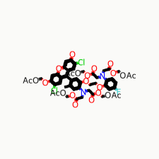 CC(=O)OCOC(=O)CN(CC(=O)OCOC(C)=O)c1ccc(F)cc1OCCOc1cc(-c2c3cc(Cl)c(=O)cc-3oc3cc(OCOC(C)=O)c(Cl)cc23)c(C)cc1N(CC(=O)OCOC(C)=O)CC(=O)OCOC(C)=O